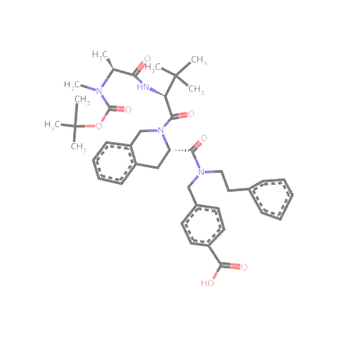 C[C@@H](C(=O)N[C@H](C(=O)N1Cc2ccccc2C[C@H]1C(=O)N(CCc1ccccc1)Cc1ccc(C(=O)O)cc1)C(C)(C)C)N(C)C(=O)OC(C)(C)C